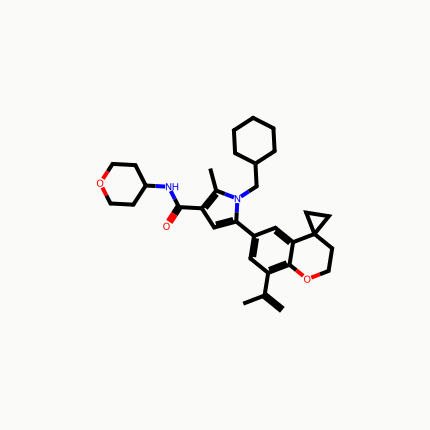 C=C(C)c1cc(-c2cc(C(=O)NC3CCOCC3)c(C)n2CC2CCCCC2)cc2c1OCCC21CC1